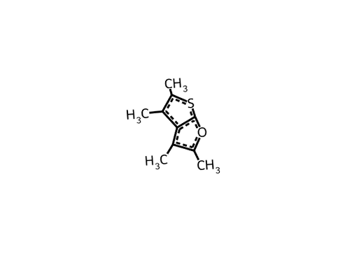 Cc1oc2sc(C)c(C)c2c1C